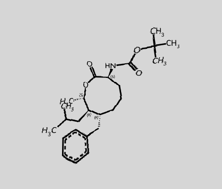 CC(C)C[C@@H]1[C@@H](Cc2ccccc2)CCC[C@H](NC(=O)OC(C)(C)C)C(=O)O[C@H]1C